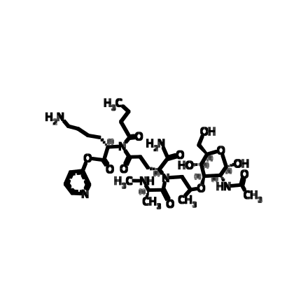 CCCC(=O)N(C(=O)CC[C@H](C(N)=O)N(CC(C)O[C@H]1[C@H](O)[C@@H](CO)O[C@H](O)[C@@H]1NC(C)=O)C(=O)[C@H](C)NC)[C@@H](CCCCN)C(=O)Oc1cccnc1